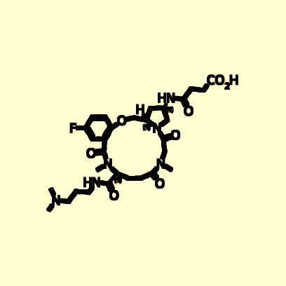 CN(C)CCCNC(=O)[C@@H]1CCC(=O)N(C)CC(=O)N2C[C@@H](NC(=O)CCC(=O)O)C[C@H]2COc2ccc(F)cc2C(=O)N1C